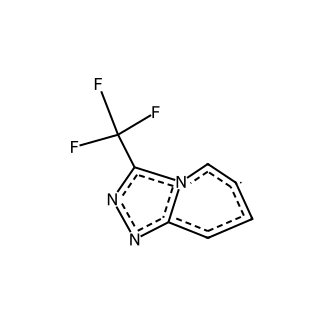 FC(F)(F)c1nnc2cc[c]cn12